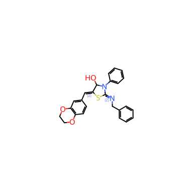 OC1/C(=C/c2ccc3c(c2)OCCO3)S/C(=N\Cc2ccccc2)N1c1ccccc1